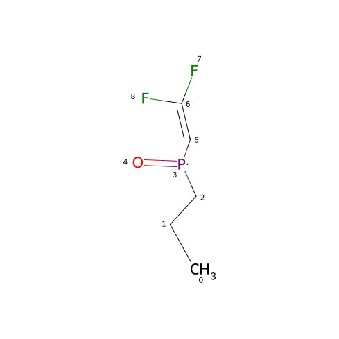 CCC[P](=O)C=C(F)F